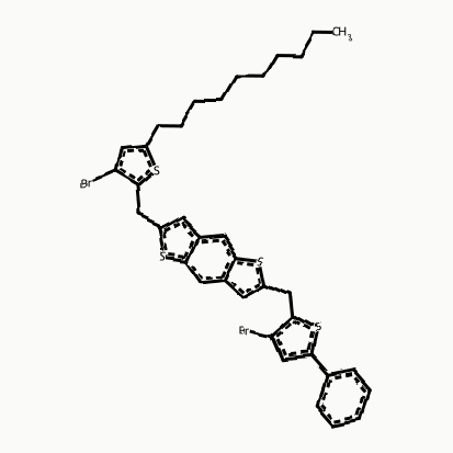 CCCCCCCCCCc1cc(Br)c(Cc2cc3cc4sc(Cc5sc(-c6ccccc6)cc5Br)cc4cc3s2)s1